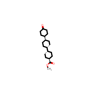 COC(=O)[C@H]1CC[C@H]([C@H]2CC[C@H](C3CCC(=O)CC3)CC2)CC1